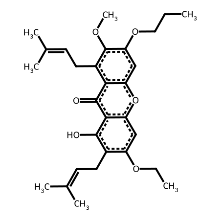 CCCOc1cc2oc3cc(OCC)c(CC=C(C)C)c(O)c3c(=O)c2c(CC=C(C)C)c1OC